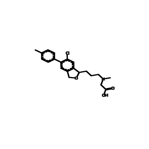 Cc1ccc(-c2cc3c(cc2Cl)C(CCCN(C)CC(=O)O)OC3)cc1